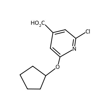 O=C(O)c1cc(Cl)nc(OC2CCCC2)c1